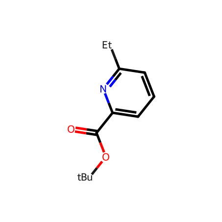 CCc1cccc(C(=O)OC(C)(C)C)n1